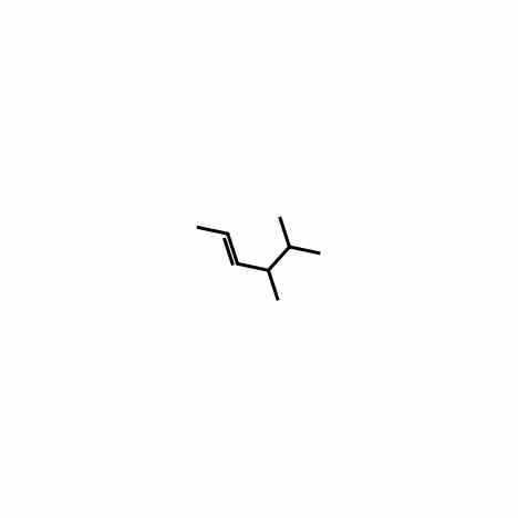 CC=CC(C)C(C)C